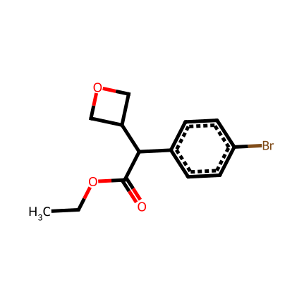 CCOC(=O)C(c1ccc(Br)cc1)C1COC1